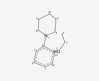 CCO.c1ccc(N2CCCCC2)cc1